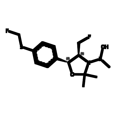 CB(O)N1[C@H](CF)[C@@H](c2ccc(SCF)cc2)OC1(C)C